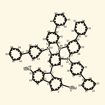 CC(C)(C)c1ccc2c(c1)C(c1cc3c4c(c1)N(c1ccc(-c5ccccc5)cc1)c1ccc(-c5ccccc5)cc1B4c1cc(-c4ccccc4)ccc1N3c1ccc(-c3ccccc3)cc1)c1cc(C(C)(C)C)ccc1-2